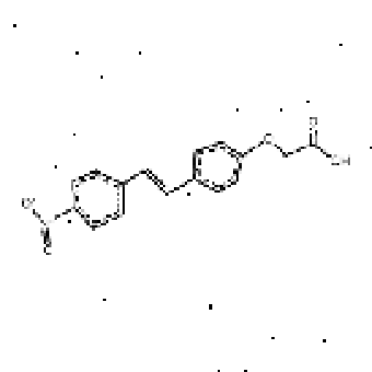 O=C(O)COc1ccc(/C=C/c2ccc([N+](=O)[O-])cc2)cc1